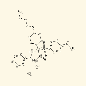 CCCCO[C@H]1CC[C@H]([C@](NCc2ccncc2)(C(=O)NO)S(=O)(=O)c2ccc(OC)cc2)CC1.Cl